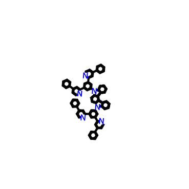 c1ccc(-c2ccnc(-c3cc(-c4cc(-c5ccccc5)ccn4)cc(-n4c5ccccc5c5c6c7ccccc7n(-c7cc(-c8cc(-c9ccccc9)ccn8)cc(-c8cc(-c9ccccc9)ccn8)c7)c6ccc54)c3)c2)cc1